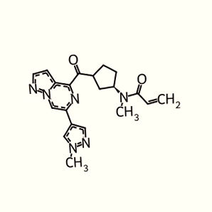 C=CC(=O)N(C)[C@@H]1CCC(C(=O)c2nc(-c3cnn(C)c3)cn3nccc23)C1